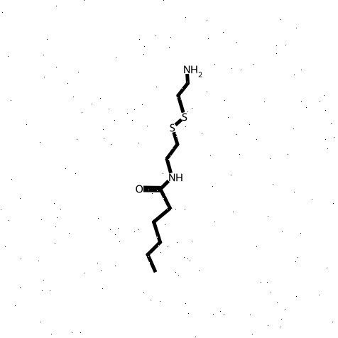 CCCCCC(=O)NCCSSCCN